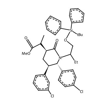 CCC(CO[Si](c1ccccc1)(c1ccccc1)C(C)(C)C)N1C(=O)[C@H](C(C)C(=O)OC)C[C@H](c2cccc(Cl)c2)[C@H]1c1ccc(Cl)cc1